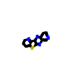 c1cnc2c(c1)sc1nc3cnccc3nc12